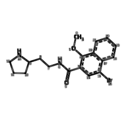 COc1c(C(=O)NCCC2CCCN2)cc(Br)c2ccccc12